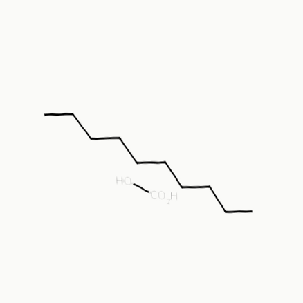 CCCCCCCCCC.O=C(O)O